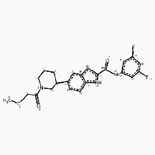 COCC(=O)N1CCCC(c2ccc3[nH]c(C(=O)Nc4cc(F)cc(F)c4)cc3c2)C1